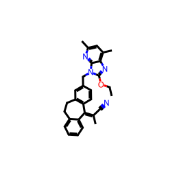 CCOc1nc2c(C)cc(C)nc2n1Cc1ccc2c(c1)CCc1ccccc1C2=C(C)C#N